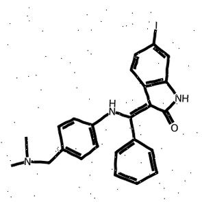 CN(C)Cc1ccc(N/C(=C2/C(=O)Nc3cc(I)ccc32)c2ccccc2)cc1